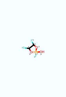 O[PH]1(F)OC(F)C(F)O1